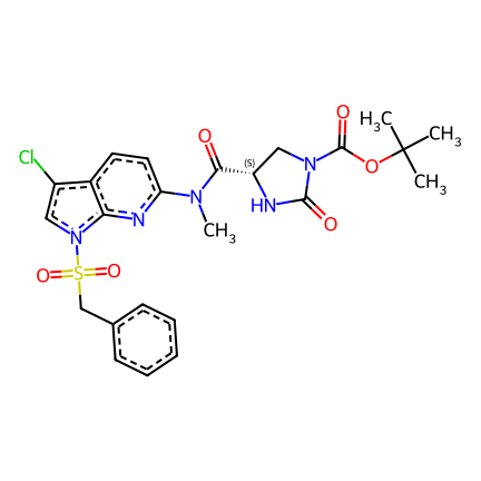 CN(C(=O)[C@@H]1CN(C(=O)OC(C)(C)C)C(=O)N1)c1ccc2c(Cl)cn(S(=O)(=O)Cc3ccccc3)c2n1